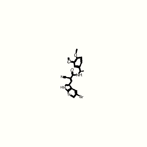 COc1ccc([C@@H](C)NC(=O)/C(C#N)=C/c2c[nH]c3ncc(Br)cc23)cc1OC